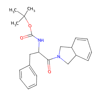 CC(C)(C)OC(=O)NC(Cc1ccccc1)C(=O)N1CC2C=CC=CC2C1